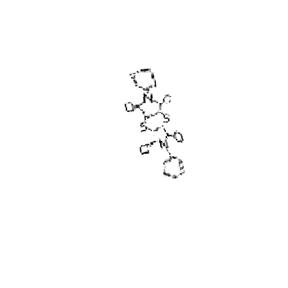 O=c1c2sc3c(=O)n(-c4ccccc4)c(=O)c3sc2c(=O)n1-c1ccccc1